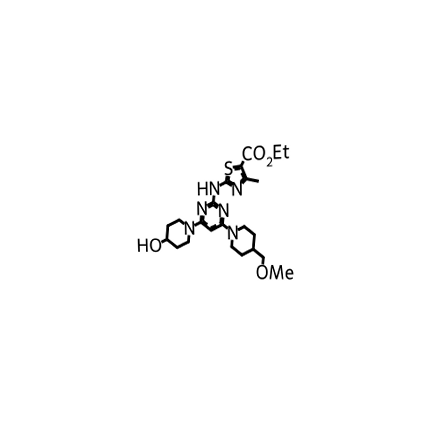 CCOC(=O)c1sc(Nc2nc(N3CCC(O)CC3)cc(N3CCC(COC)CC3)n2)nc1C